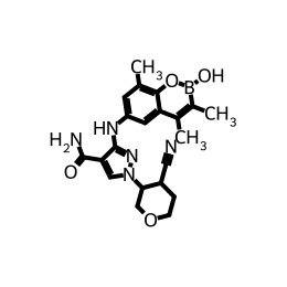 CC1=C(C)c2cc(Nc3nn(C4COCCC4C#N)cc3C(N)=O)cc(C)c2OB1O